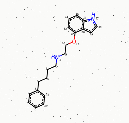 c1ccc(CCCCNCCOc2cccc3[nH]ccc23)cc1